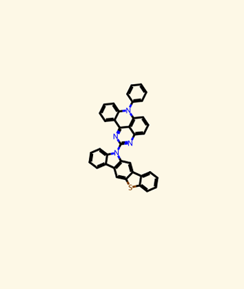 c1ccc(N2c3ccccc3-c3nc(-n4c5ccccc5c5cc6sc7ccccc7c6cc54)nc4cccc2c34)cc1